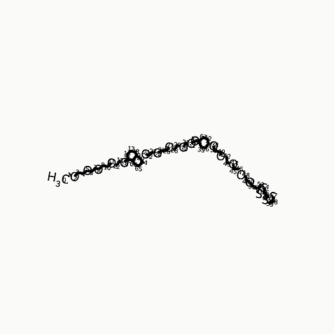 CCOCCOCCOCCOCCOC1CCCC2C(OCCOCCOCCOCOOC3CCC(OCCOCCOCCOCCOCC4=CSC(=C5SC=CS5)S4)CC3)CCCC12